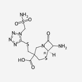 NC1C(=O)N2CC(CSc3nnnn3CS(N)(=O)=O)(C(=O)O)CS[C@H]12